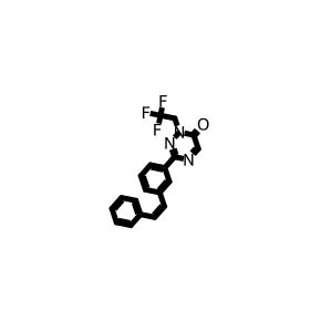 O=c1cnc(-c2cccc(/C=C\c3ccccc3)c2)nn1CC(F)(F)F